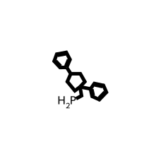 PCC1(c2ccccc2)CCC(c2ccccc2)CC1